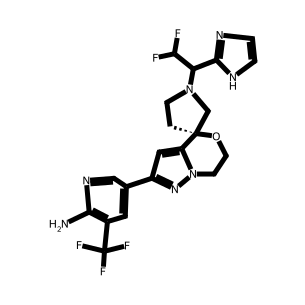 Nc1ncc(-c2cc3n(n2)CCO[C@@]32CCN(C(c3ncc[nH]3)C(F)F)C2)cc1C(F)(F)F